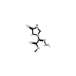 COC(=O)C(=NN)N1CNC(=O)C1